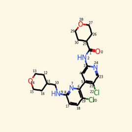 O=C(Nc1cc(-c2nc(NCC3CCOCC3)ccc2Cl)c(Cl)cn1)C1CCOCC1